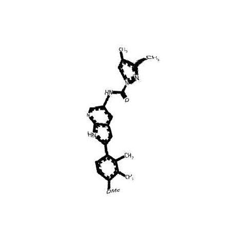 COc1ccc(-c2cc3cc(NC(=O)n4cc(C)c(C)n4)cnc3[nH]2)c(C)c1C